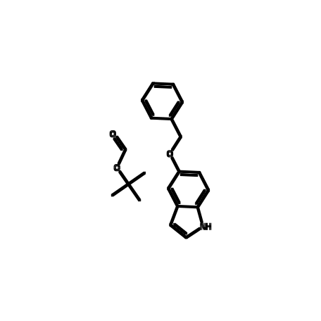 CC(C)(C)OC=O.c1ccc(COc2ccc3[nH]ccc3c2)cc1